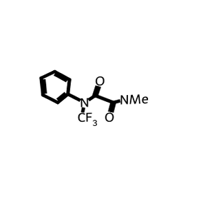 CNC(=O)C(=O)N(c1ccccc1)C(F)(F)F